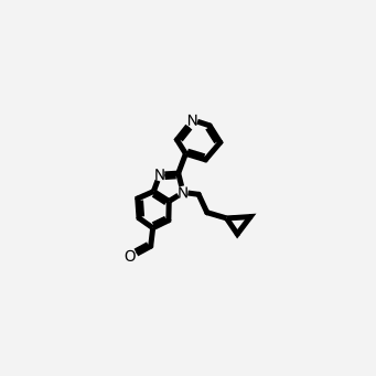 O=Cc1ccc2nc(-c3cccnc3)n(CCC3CC3)c2c1